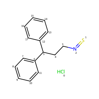 Cl.S=NCCC(c1ccccc1)c1ccccc1